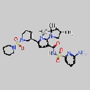 C[C@@H]1CN(c2nc(C3=CCCN(S(=O)(=O)N4CCCCC4)C3)ccc2C(=O)NS(=O)(=O)c2cccc(N)n2)C(C)(C)C1